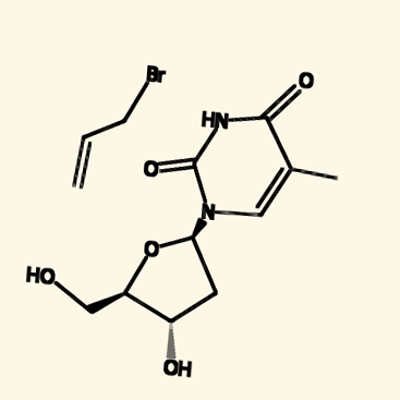 C=CCBr.Cc1cn([C@H]2C[C@H](O)[C@@H](CO)O2)c(=O)[nH]c1=O